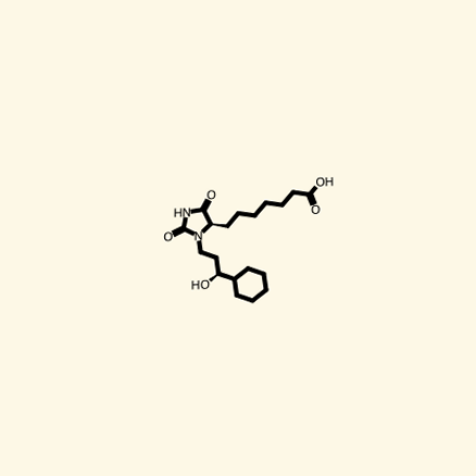 O=C(O)CCCCCC[C@@H]1C(=O)NC(=O)N1CC[C@H](O)C1CCCCC1